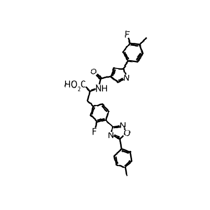 Cc1ccc(-c2nc(-c3ccc(CC(NC(=O)C4=CC(c5ccc(C)c(F)c5)N=C4)C(=O)O)cc3F)no2)cc1